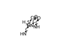 C[SiH3].N=C=O.N=C=O.N=C=O